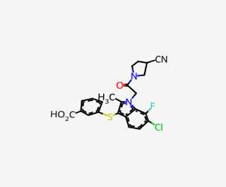 Cc1c(Sc2cccc(C(=O)O)c2)c2ccc(Cl)c(F)c2n1CC(=O)N1CCC(C#N)C1